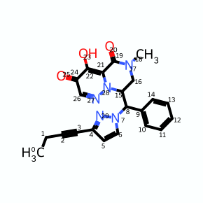 CCC#Cc1ccn(C(c2ccccc2)C2CN(C)C(=O)c3c(O)c(=O)cnn32)n1